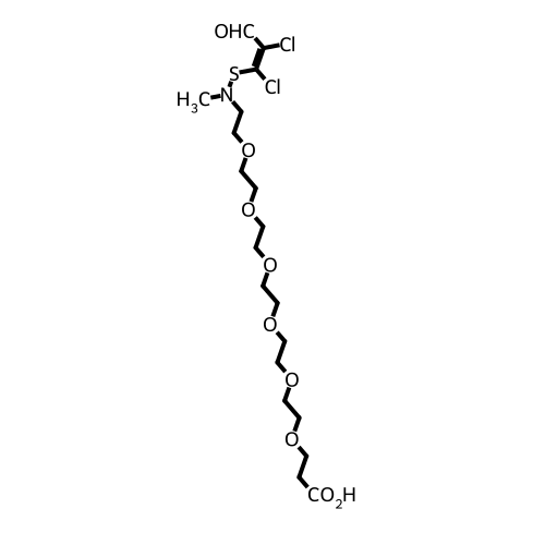 CN(CCOCCOCCOCCOCCOCCOCCC(=O)O)S/C(Cl)=C(/Cl)C=O